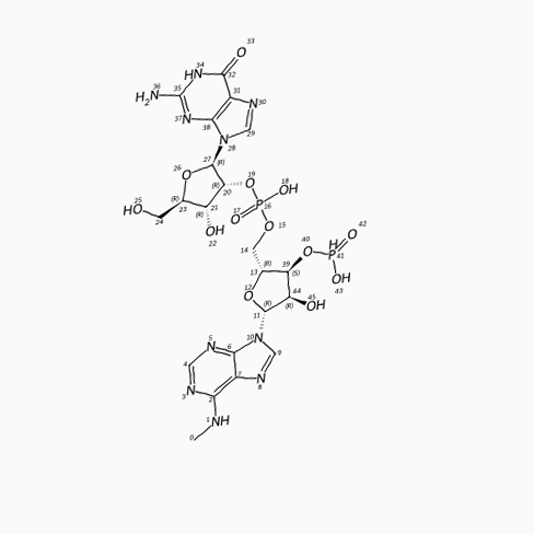 CNc1ncnc2c1ncn2[C@@H]1O[C@H](COP(=O)(O)O[C@@H]2[C@H](O)[C@@H](CO)O[C@H]2n2cnc3c(=O)[nH]c(N)nc32)[C@@H](O[PH](=O)O)[C@H]1O